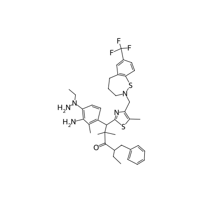 CCC(Cc1ccccc1)C(=O)C(C)(C)C(c1nc(CN2CCCc3cc(C(F)(F)F)ccc3S2)c(C)s1)c1ccc(N(N)CC)c(N)c1C